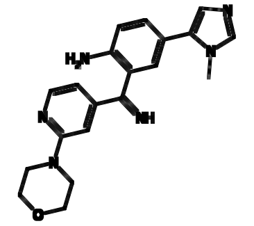 Cn1cncc1-c1ccc(N)c(C(=N)c2ccnc(N3CCOCC3)c2)c1